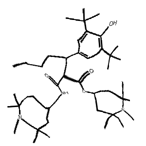 CCCCC(c1cc(C(C)(C)C)c(O)c(C(C)(C)C)c1)C(C(=O)NC1CC(C)(C)N(C)C(C)(C)C1)C(=O)OC1CC(C)(C)N(C)C(C)(C)C1